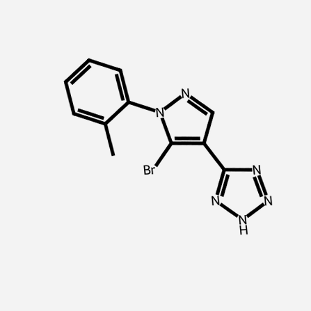 Cc1ccccc1-n1ncc(-c2nn[nH]n2)c1Br